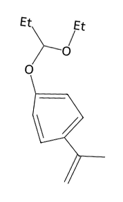 C=C(C)c1ccc(OC(CC)OCC)cc1